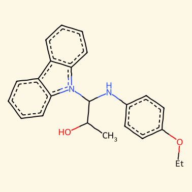 CCOc1ccc(NC(C(C)O)n2c3ccccc3c3ccccc32)cc1